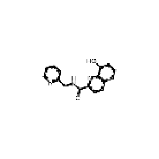 O=C(NCc1ccccn1)c1ccc2cccc(O)c2n1